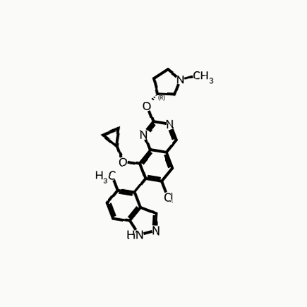 Cc1ccc2[nH]ncc2c1-c1c(Cl)cc2cnc(O[C@@H]3CCN(C)C3)nc2c1OC1CC1